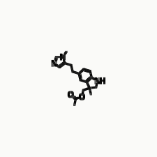 CC(=O)OCC1(C)CNc2ccc(CCc3cncn3C)cc21